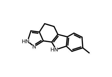 Cc1ccc2c3c([nH]c2c1)-c1n[nH]cc1CC3